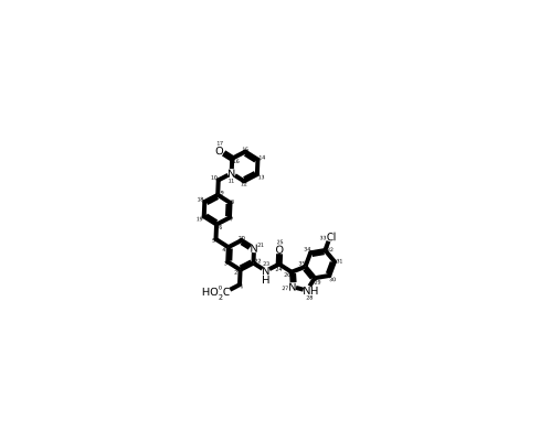 O=C(O)Cc1cc(Cc2ccc(Cn3ccccc3=O)cc2)cnc1NC(=O)c1n[nH]c2ccc(Cl)cc12